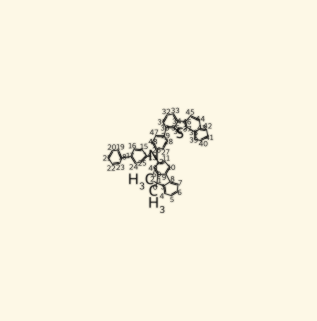 CC1(C)c2ccccc2-c2ccc(N(c3ccc(-c4ccccc4)cc3)c3ccc(-c4cccc5c4sc4c6ccccc6ccc54)cc3)cc21